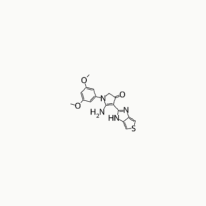 COc1cc(OC)cc(N2CC(=O)C(c3nc4cscc4[nH]3)=C2N)c1